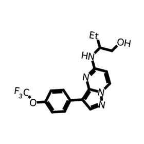 CCC(CO)Nc1ccn2ncc(-c3ccc(OC(F)(F)F)cc3)c2n1